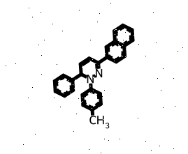 Cc1ccc(N2N=C(c3ccc4ccccc4c3)C=CC2c2ccccc2)cc1